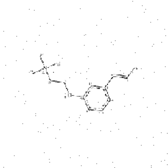 [CH2]C=Cc1cccc(OCC[N+](C)(C)C)c1